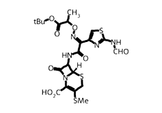 CSC1=C(C(=O)O)N2C(=O)C(NC(=O)C(=NOC(C)C(=O)OC(C)(C)C)c3csc(NC=O)n3)[C@@H]2SC1